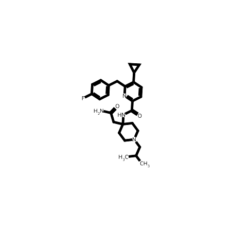 C[C](C)CN1CCC(CC(N)=O)(NC(=O)c2ccc(C3CC3)c(Cc3ccc(F)cc3)n2)CC1